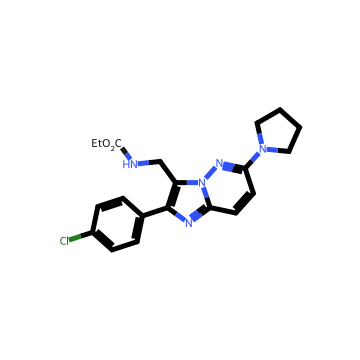 CCOC(=O)NCc1c(-c2ccc(Cl)cc2)nc2ccc(N3CCCC3)nn12